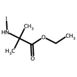 CCOC(=O)C(C)(C)NI